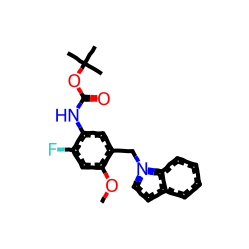 COc1cc(F)c(NC(=O)OC(C)(C)C)cc1Cn1ccc2ccccc21